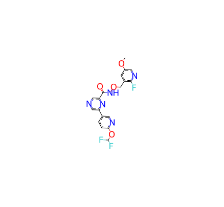 COc1cnc(F)c(CONC(=O)c2cncc(-c3ccc(OC(F)F)nc3)n2)c1